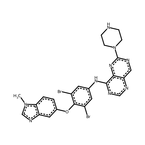 Cn1cnc2cc(Oc3c(Br)cc(Nc4ncnc5cnc(N6CCNCC6)nc45)cc3Br)ccc21